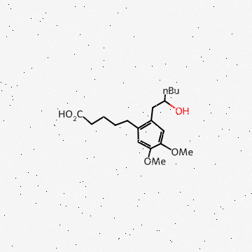 CCCCC(O)Cc1cc(OC)c(OC)cc1CCCCC(=O)O